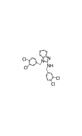 Clc1ccc(CNc2nc3ccccc3n2Cc2ccc(Cl)c(Cl)c2)cc1Cl